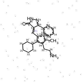 Cc1[nH]c(/C=C2/C(=O)NN=C2c2cnccn2)c(C2CCCCC2)c1CCN